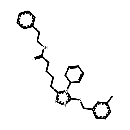 Cc1cccc(CSc2nnc(CCCCC(=O)NCCc3ccccc3)n2C2C=CC=CC2)c1